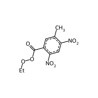 CCOOC(=O)c1cc(C)c([N+](=O)[O-])cc1[N+](=O)[O-]